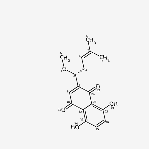 CO[C@H](CC=C(C)C)C1=CC(=O)c2c(O)ccc(O)c2C1=O